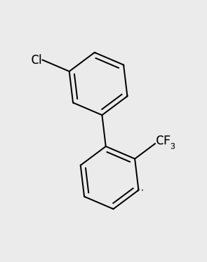 FC(F)(F)c1[c]cccc1-c1cccc(Cl)c1